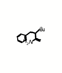 C=C(N)C(Cc1ccccc1)C(C)CC